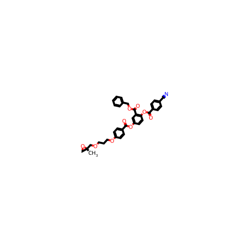 CC1(COCCCOc2ccc(C(=O)Oc3ccc(OC(=O)c4ccc(C#N)cc4)c(C(=O)OCc4ccccc4)c3)cc2)CO1